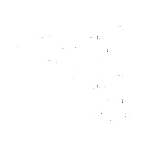 C=CCn1nc(C(=O)Nc2nnnn2C)c(=O)n(-c2ccc(F)cc2)c1=O